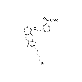 COC(=O)c1cccc(COc2ccccc2CC(CCCCCCBr)C(=O)OC)c1